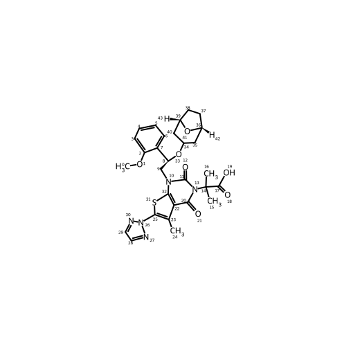 COc1ccccc1[C@H](Cn1c(=O)n(C(C)(C)C(=O)O)c(=O)c2c(C)c(-n3nccn3)sc21)OC1C[C@H]2CC[C@@H](C1)O2